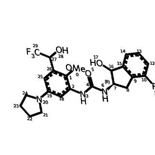 COc1c(NC(=O)N[C@@H]2Cc3c(F)cccc3C2O)cc(N2CCCC2)cc1C(O)C(F)(F)F